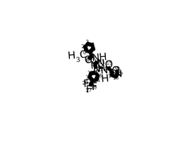 Cc1ccccc1C(=O)Nc1nc(NC(=O)c2ccno2)n(-c2ccc(C(F)(F)F)cc2)n1